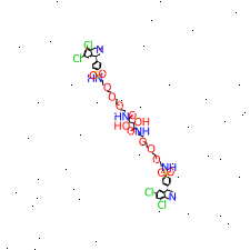 CN1Cc2c(Cl)cc(Cl)cc2[C@H](c2ccc(S(=O)(=O)NCCOCCOCCOCCNC(=O)[C@@H](O)[C@H](O)C(=O)NCCOCCOCCOCCNS(=O)(=O)c3ccc([C@@H]4CN(C)Cc5c(Cl)cc(Cl)cc54)cc3)cc2)C1